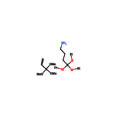 C=C[Si](OC)(OC)OC.CCO[Si](CCCN)(OCC)OCC